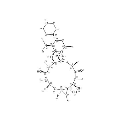 CO[C@@]1(C)C[C@@H](C)C(=O)[C@H](C)[C@@H](O)[C@@]2(O)C(C)[C@H]2OC(=O)[C@H](C)[C@@H](O)[C@H](C)[C@H]1O[C@@H]1O[C@H](C)C[C@@H](N2CCOCC2)[C@@H]1N(C)C